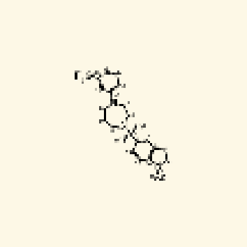 CC(=O)N1CCc2cc(S(=O)(=O)N3CCCN(c4cccc(C(F)(F)F)c4)CC3)ccc21